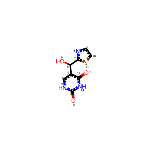 O=c1[nH]cc(C(O)c2nccs2)c(=O)[nH]1